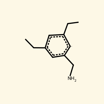 CCc1[c]c(CN)cc(CC)c1